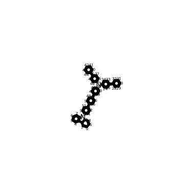 C1=CC2c3ccccc3N(c3ccc(-c4ccc(-c5ccc(N(c6ccc(-c7ccccc7)cc6)c6ccc(-c7ccccc7)cc6)cc5)cc4)cc3)C2C=C1